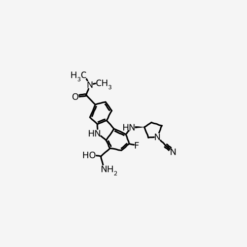 CN(C)C(=O)c1ccc2c(c1)[nH]c1c(C(N)O)cc(F)c(N[C@H]3CCN(C#N)C3)c12